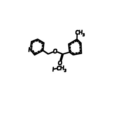 CI.Cc1cccc(C(=O)OCc2cccnc2)c1